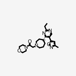 CCc1ncc(-c2cc(C)no2)c([C@@H]2CCCN(CC(=O)N3CCOCC3)CC2)n1